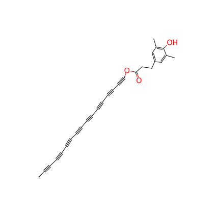 CC#CC#CC#CC#CC#CC#CC#CC#COC(=O)CCc1cc(C)c(O)c(C)c1